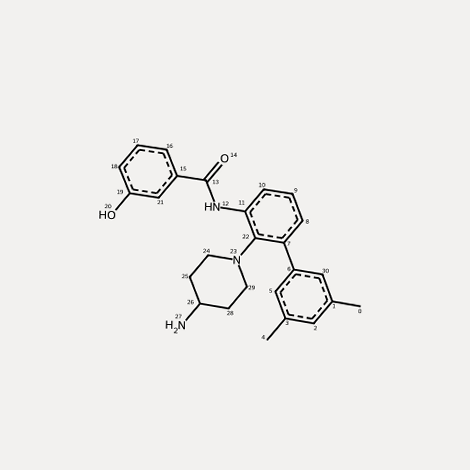 Cc1cc(C)cc(-c2cccc(NC(=O)c3cccc(O)c3)c2N2CCC(N)CC2)c1